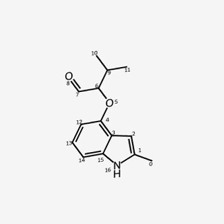 Cc1cc2c(OC(C=O)C(C)C)cccc2[nH]1